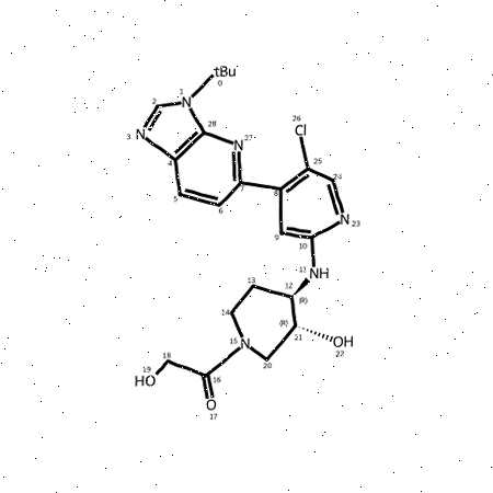 CC(C)(C)n1cnc2ccc(-c3cc(N[C@@H]4CCN(C(=O)CO)C[C@H]4O)ncc3Cl)nc21